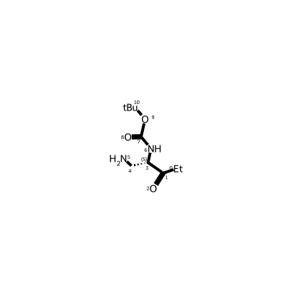 CCC(=O)[C@H](CN)NC(=O)OC(C)(C)C